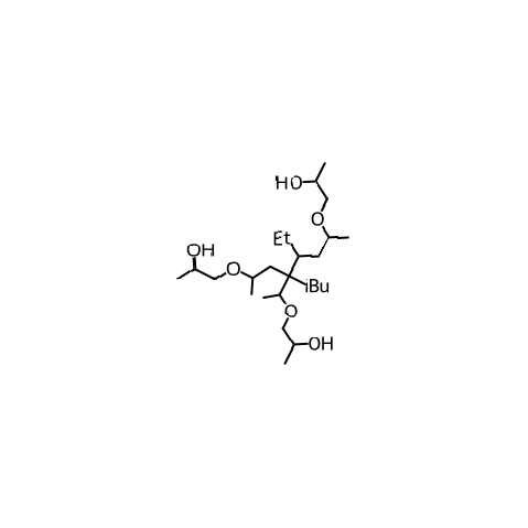 CCC(C)C(CC(C)OCC(C)O)(C(CC)CC(C)OCC(C)O)C(C)OCC(C)O